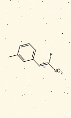 Cc1cccc(/C=C(\F)[N+](=O)[O-])c1